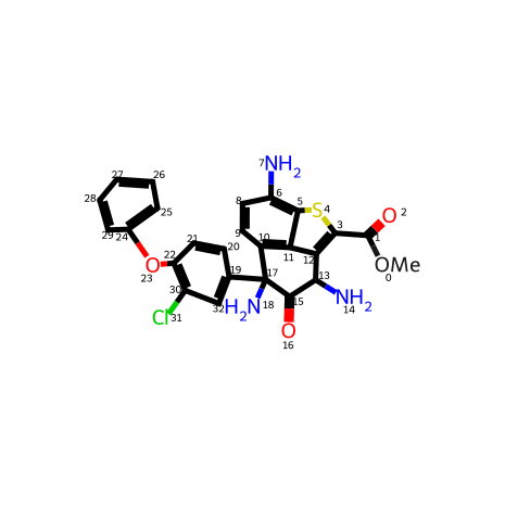 COC(=O)c1sc2c(N)ccc3c2c1C(N)C(=O)C3(N)c1ccc(Oc2ccccc2)c(Cl)c1